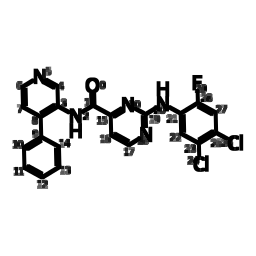 O=C(Nc1cnccc1-c1ccccc1)c1ccnc(Nc2cc(Cl)c(Cl)cc2F)n1